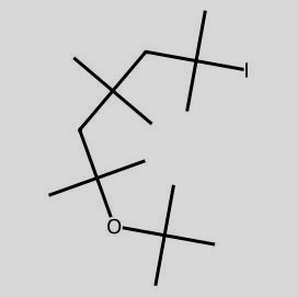 CC(C)(I)CC(C)(C)CC(C)(C)OC(C)(C)C